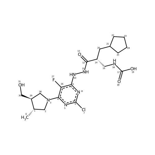 C[C@H]1CN(c2nc(Cl)nc(NNC(=O)[C@@H](CNC(=O)O)CC3CCCC3)c2F)C[C@@H]1CO